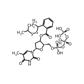 Cc1cn([C@H]2CC(OC(=O)c3ccccc3C(C)SSC(C)C)[C@@H](COP(=O)(O)OP(=O)(O)OP(=O)(O)O)O2)c(=O)[nH]c1=O